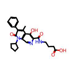 Cc1c(-c2ccccc2)c(=O)n(C2CCCC2)c2cnc(C(=O)NCCCC(=O)O)c(O)c12